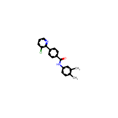 Cc1ccc(NC(=O)c2ccc(-c3ncccc3Cl)cc2)cc1C